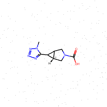 Cn1nnnc1C1C2CN(C(=O)O)C[C@@H]21